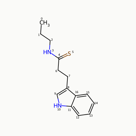 CCCNC(=S)CCc1c[nH]c2ccccc12